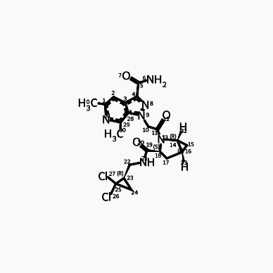 Cc1cc2c(C(N)=O)nn(CC(=O)N3[C@@H]4C[C@@H]4C[C@H]3C(=O)NC[C@H]3CC3(Cl)Cl)c2c(C)n1